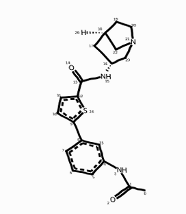 CC(=O)Nc1cccc(-c2ccc(C(=O)N[C@@H]3C[C@H]4CCN(C4)C3)s2)c1